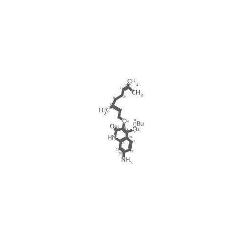 CCCCOc1c(OC/C=C(\C)CCC=C(C)C)c(=O)[nH]c2cc(N)ccc12